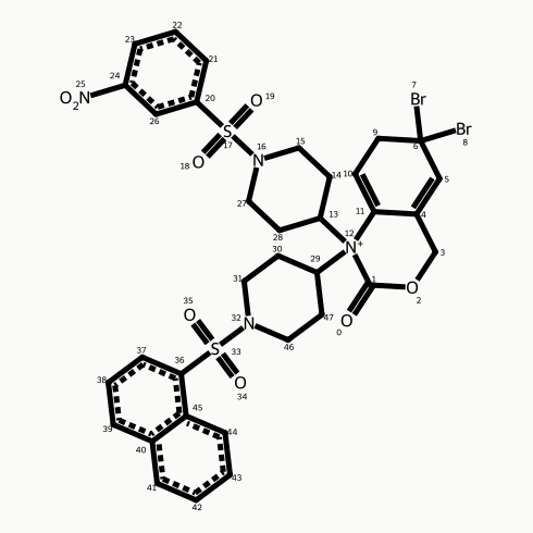 O=C1OCC2=CC(Br)(Br)CC=C2[N+]1(C1CCN(S(=O)(=O)c2cccc([N+](=O)[O-])c2)CC1)C1CCN(S(=O)(=O)c2cccc3ccccc23)CC1